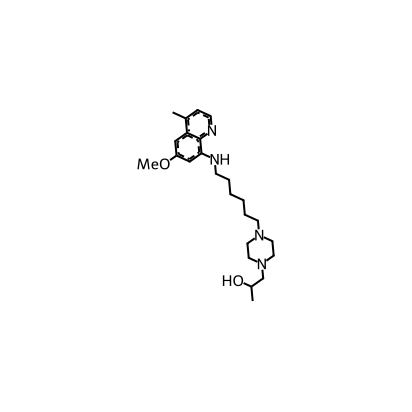 COc1cc(NCCCCCCN2CCN(CC(C)O)CC2)c2nccc(C)c2c1